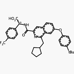 CC(C)(C)c1ccc(Oc2ccc3cc(C(=O)N[C@H](C(=O)O)c4ccc(C(F)(F)F)cc4)nc(CC4CCCC4)c3c2)cc1